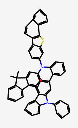 CC1(C)c2ccccc2-c2ccc(N(c3ccc4c(c3)sc3c5ccccc5ccc43)c3ccccc3-c3ccc4c5ccccc5n(-c5ccccc5)c4c3)cc21